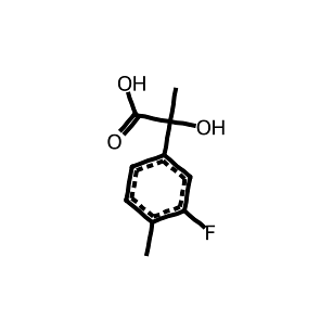 Cc1ccc(C(C)(O)C(=O)O)cc1F